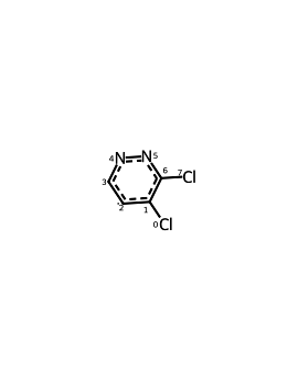 Clc1[c]cnnc1Cl